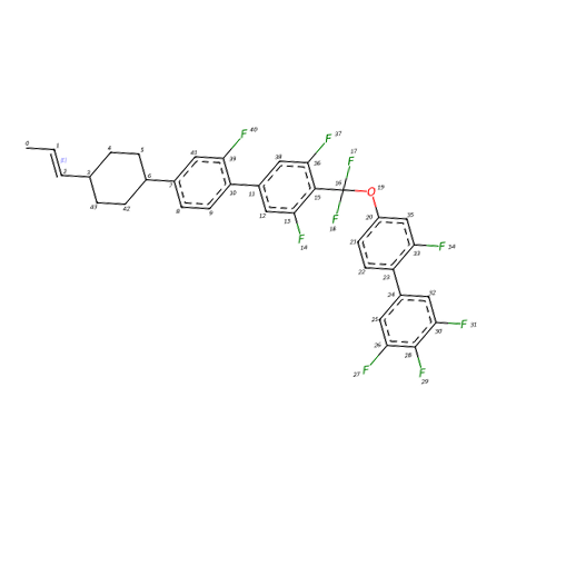 C/C=C/C1CCC(c2ccc(-c3cc(F)c(C(F)(F)Oc4ccc(-c5cc(F)c(F)c(F)c5)c(F)c4)c(F)c3)c(F)c2)CC1